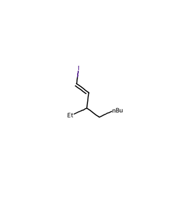 CCCCCC(C=CI)CC